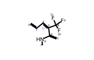 C=C/C=C(\C(=C)NC)C(F)(F)F